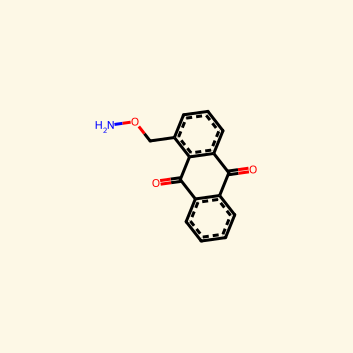 NOCc1cccc2c1C(=O)c1ccccc1C2=O